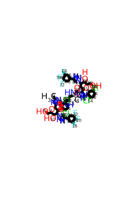 Cc1nc(C2OC(CO)C(O)C(n3cc(-c4cc(F)c(F)c(F)c4)nn3)C2OC(=O)NCCCCNC(=O)OC2C(c3nc(C)nn3-c3cc(Cl)ccc3Cl)OC(CO)C(O)C2n2cc(-c3cc(F)c(F)c(F)c3)nn2)n(-c2cc(Cl)ccc2Cl)n1